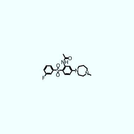 CC(=O)Nc1cc(N2CCCN(C)CC2)ccc1S(=O)(=O)c1cccc(F)c1